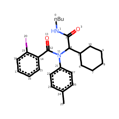 CCCCNC(=O)C(C1CCCCC1)N(C(=O)c1ccccc1I)c1ccc(C)cc1